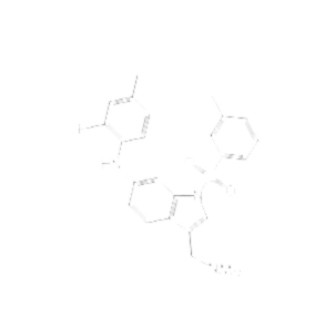 CNCc1cn(S(=O)(=O)c2cccc(C)c2)c2cc(Nc3ccc(C)cc3F)ccc12